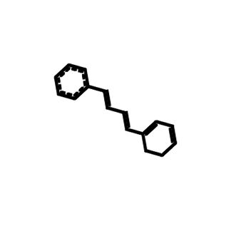 C1=CCCC(C=CC=Cc2ccccc2)=C1